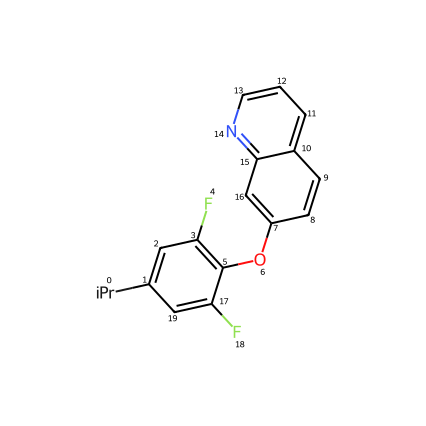 CC(C)c1cc(F)c(Oc2ccc3cccnc3c2)c(F)c1